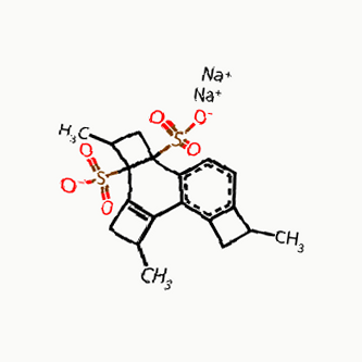 CC1CC2=C1c1c(ccc3c1CC3C)C1(S(=O)(=O)[O-])CC(C)C21S(=O)(=O)[O-].[Na+].[Na+]